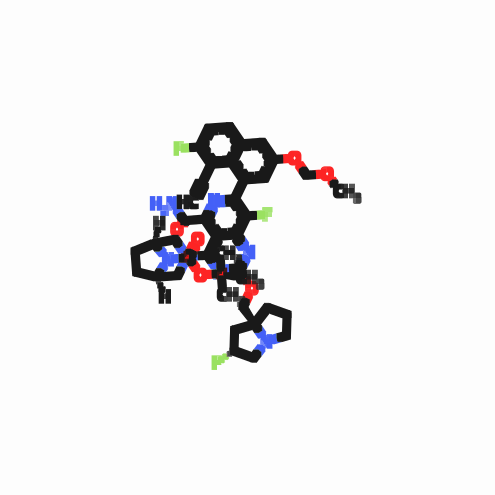 C#Cc1c(F)ccc2cc(OCOC)cc(-c3nc(C(N)=O)c4c(N5C[C@H]6CC[C@@H](C5)N6C(=O)OC(C)(C)C)nc(OC[C@@]56CCCN5C[C@H](F)C6)nc4c3F)c12